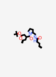 C=CCCC(=O)NCC1CCCN1C(=O)C(CC=C)CC(=O)OC(C)(C)C